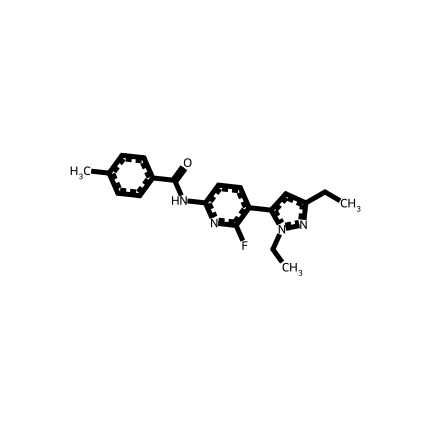 CCc1cc(-c2ccc(NC(=O)c3ccc(C)cc3)nc2F)n(CC)n1